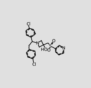 O=S(=O)(CC1(O)CN(C(Cc2ccc(Cl)cc2)c2ccc(Cl)cc2)C1)c1cccnc1